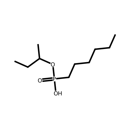 CCCCCCP(=O)(O)OC(C)CC